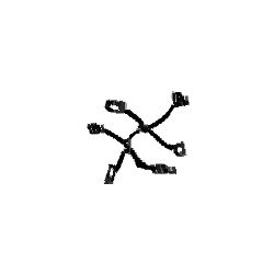 CC(C)(C)[Si](Cl)(Cl)[Si](Cl)(C(C)(C)C)C(C)(C)C